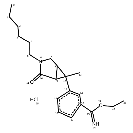 CCCCCCN1CC2C(C1=O)C2(C)c1cccc(C(=N)OCC)c1.Cl